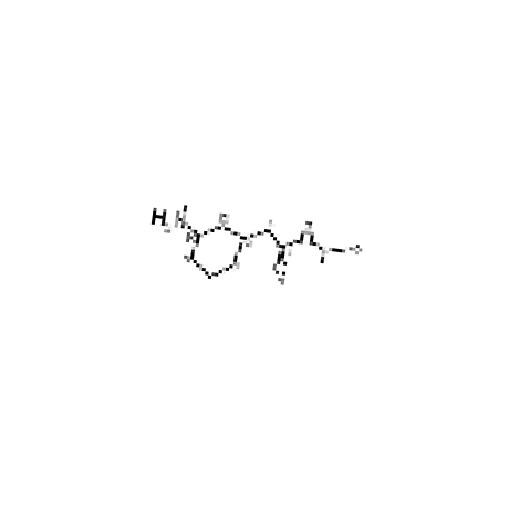 CCOC(=O)CC1CCCC(N)C1